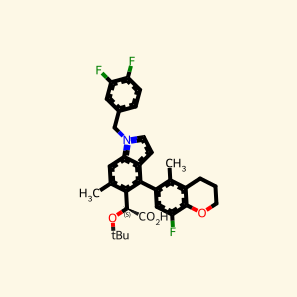 Cc1cc2c(ccn2Cc2ccc(F)c(F)c2)c(-c2cc(F)c3c(c2C)CCCO3)c1[C@H](OC(C)(C)C)C(=O)O